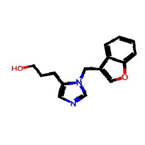 OCCCc1cncn1Cc1coc2ccccc12